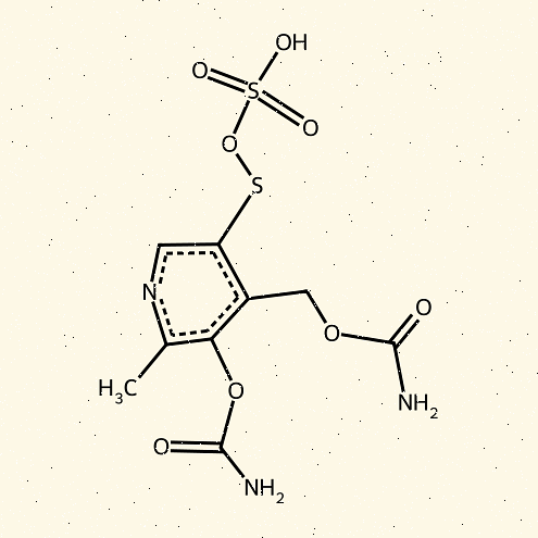 Cc1ncc(SOS(=O)(=O)O)c(COC(N)=O)c1OC(N)=O